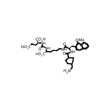 COc1c(C[C@@H](NC(=O)C2CCC(CN)CC2)C(=O)NCCCC[C@H](NC(=O)N[C@@H](CCC(=O)O)C(=O)O)C(=O)O)ccc2ccccc12